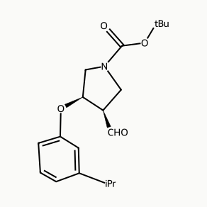 CC(C)c1cccc(O[C@H]2CN(C(=O)OC(C)(C)C)C[C@H]2C=O)c1